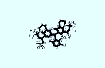 CCC1=CC(C)(C)N2CCCc3c4c(cc1c32)C(c1c(Cl)ccc(Cl)c1C(=O)O)=c1cc2c3c(c1O4)CCC[N+]=3C(C)(C)C=C2CS(=O)(=O)[O-]